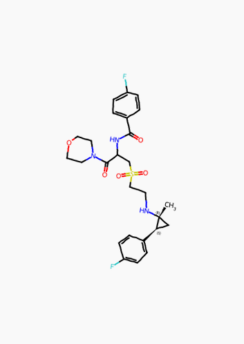 C[C@@]1(NCCS(=O)(=O)CC(NC(=O)c2ccc(F)cc2)C(=O)N2CCOCC2)C[C@H]1c1ccc(F)cc1